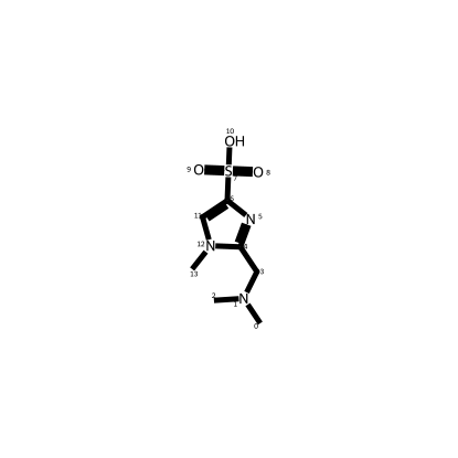 CN(C)Cc1nc(S(=O)(=O)O)cn1C